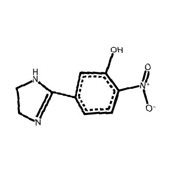 O=[N+]([O-])c1ccc(C2=NCCN2)cc1O